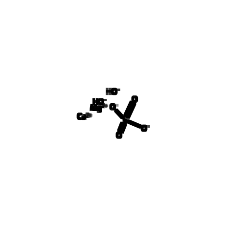 O=S(=O)([O-])[O-].[Ca+2].[Mg+2].[OH-].[OH-]